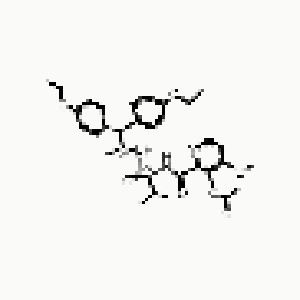 CCOc1ccc(C(c2ccc(OCC)cc2)[C@H](C)NC(=O)[C@@H](NC(=O)c2nccc(OC)c2OC(C)=O)C(C)C)cc1